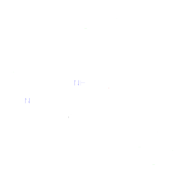 Cc1cnc(Br)cc1NC(=O)c1c(Oc2ccc(OC(F)(F)F)cc2)ccc(Cl)c1F